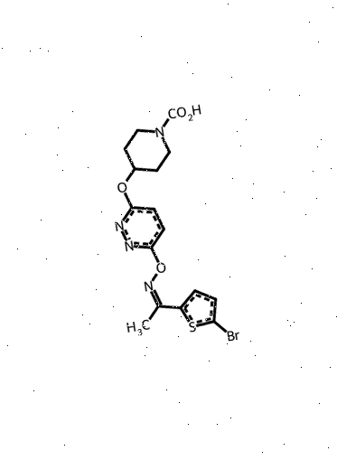 CC(=NOc1ccc(OC2CCN(C(=O)O)CC2)nn1)c1ccc(Br)s1